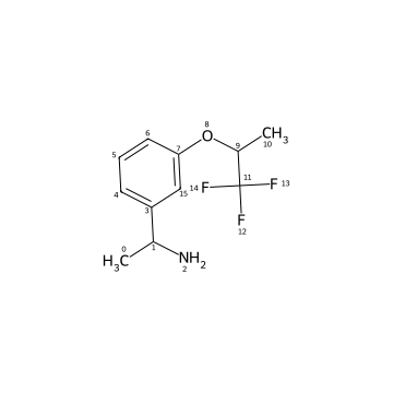 CC(N)c1cccc(OC(C)C(F)(F)F)c1